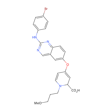 COCCCN1C=CC(Oc2ccc3nc(Nc4ccc(Br)cc4)ncc3c2)=CC1C(=O)O